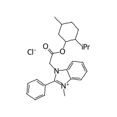 CC1CCC(C(C)C)C(OC(=O)Cn2c(-c3ccccc3)[n+](C)c3ccccc32)C1.[Cl-]